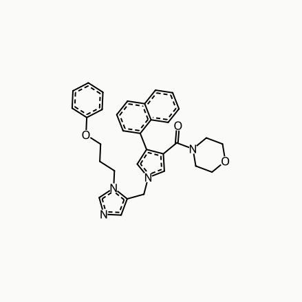 O=C(c1cn(Cc2cncn2CCCOc2ccccc2)cc1-c1cccc2ccccc12)N1CCOCC1